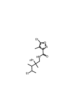 CCCC(C)(CNC(=O)c1noc(CC)c1C)C(C)N(C)CC